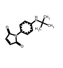 CC(C)(C)Nc1ccc(N2C(=O)C=CC2=O)cc1